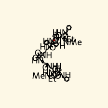 CC[C@H](NC)C(=O)N[C@@H]1C(=O)N2[C@@H](CC[C@@H]1CNC(=O)CCCNc1c(NCCCCNC(=O)C(NC(=O)[C@@H]3CC[C@@H]4CC[C@H](CNCc5ccccc5)[C@H](NC(=O)[C@H](CC)NC)C(=O)N43)(c3ccccc3)c3ccccc3)c(=O)c1=O)CC[C@H]2C(=O)NCc1ccccc1